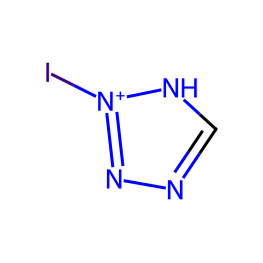 I[n+]1nnc[nH]1